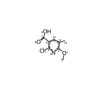 COc1nc(Cl)c(C(=O)O)cc1C